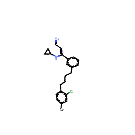 N#Cc1ccc(CCCCc2cccc(/C(=C/C=N)NC3CC3)c2)c(Cl)c1